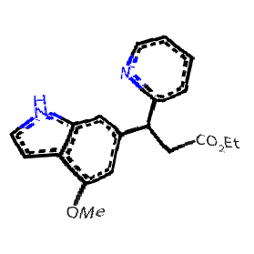 CCOC(=O)CC(c1cc(OC)c2cc[nH]c2c1)c1ccccn1